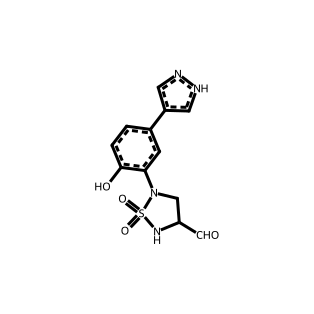 O=CC1CN(c2cc(-c3cn[nH]c3)ccc2O)S(=O)(=O)N1